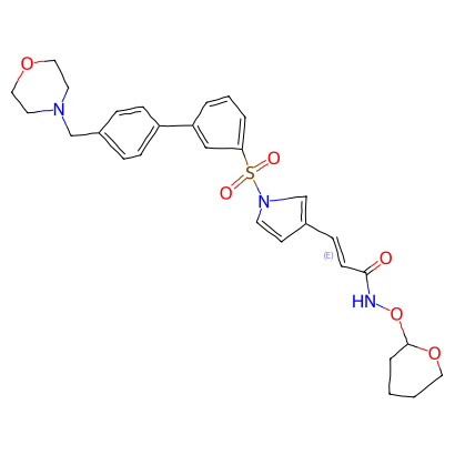 O=C(/C=C/c1ccn(S(=O)(=O)c2cccc(-c3ccc(CN4CCOCC4)cc3)c2)c1)NOC1CCCCO1